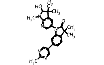 Cc1ncc(-c2ccc3c(c2)N(c2cnc4c(c2)C(C)(C)C(O)N4C)C(=O)C3(C)C)cn1